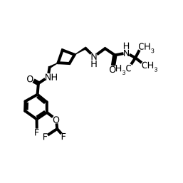 CC(C)(C)NC(=O)CNC[C@H]1C[C@@H](CNC(=O)c2ccc(F)c(OC(F)F)c2)C1